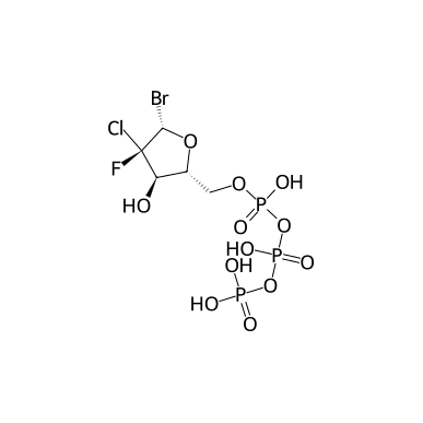 O=P(O)(O)OP(=O)(O)OP(=O)(O)OC[C@H]1O[C@@H](Br)[C@@](F)(Cl)[C@@H]1O